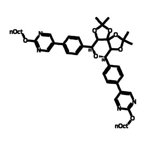 CCCCCCCCOc1ncc(-c2ccc([C@H](O[C@@H](c3ccc(-c4cnc(OCCCCCCCC)nc4)cc3)C3COC(C)(C)O3)C3COC(C)(C)O3)cc2)cn1